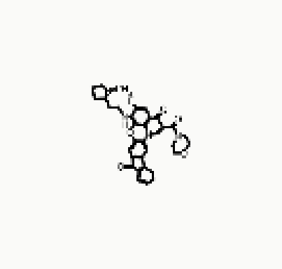 CN1CCCC1CCNc1c(F)cc2c(=O)c(C(=O)N3CCOCC3)cn3c4cc5c6c(c(=O)c5cc4oc1c23)C=CCC6